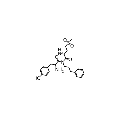 CS(=O)(=O)CCC(N)C(=O)N(CCCc1ccccc1)C(=O)[C@@H](N)Cc1ccc(O)cc1